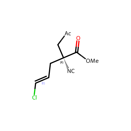 [C-]#[N+][C@](C/C=C/Cl)(CC(C)=O)C(=O)OC